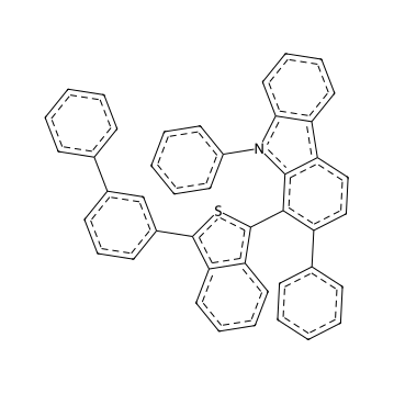 c1ccc(-c2cccc(-c3sc(-c4c(-c5ccccc5)ccc5c6ccccc6n(-c6ccccc6)c45)c4ccccc34)c2)cc1